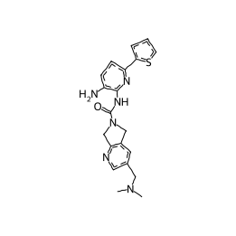 CN(C)Cc1cnc2c(c1)CN(C(=O)Nc1nc(-c3cccs3)ccc1N)C2